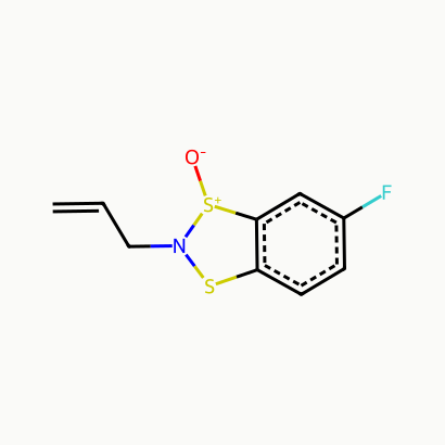 C=CCN1Sc2ccc(F)cc2[S+]1[O-]